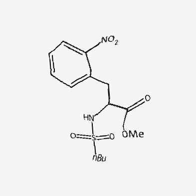 CCCCS(=O)(=O)NC(Cc1ccccc1[N+](=O)[O-])C(=O)OC